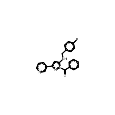 O=C(c1ccccc1)n1nc(-c2cccnc2)cc1NCc1ccc(F)cc1